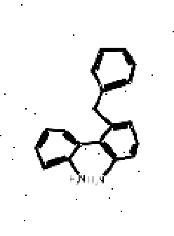 Nc1ccccc1-c1c(N)cccc1Cc1ccccc1